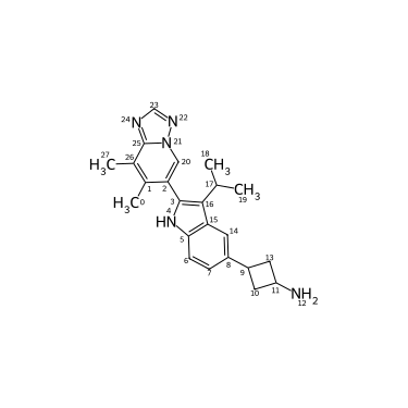 Cc1c(-c2[nH]c3ccc(C4CC(N)C4)cc3c2C(C)C)cn2ncnc2c1C